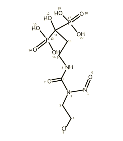 O=NN(CCCl)C(=O)NCCC(O)(P(=O)(O)O)P(=O)(O)O